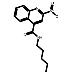 CCCCCNC(=O)c1cc([N+](=O)[O-])nc2ccccc12